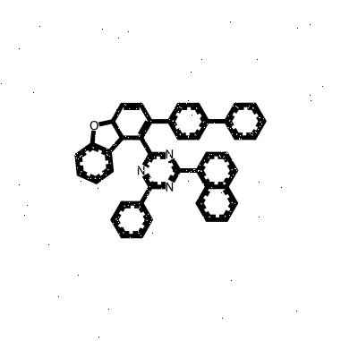 C1=CC2Oc3ccccc3C2C(c2nc(-c3ccccc3)nc(-c3cccc4ccccc34)n2)=C1c1ccc(-c2ccccc2)cc1